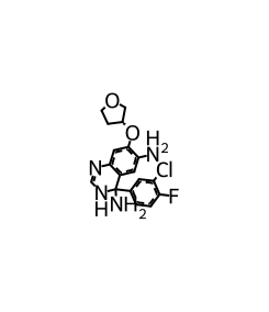 Nc1cc2c(cc1O[C@H]1CCOC1)N=CNC2(N)c1ccc(F)c(Cl)c1